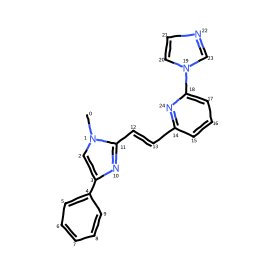 Cn1cc(-c2ccccc2)nc1C=Cc1cccc(-n2ccnc2)n1